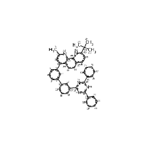 Cc1cc(-c2cccc(-c3cccc(-c4nc(-c5ccccc5)nc(-c5ccccc5)n4)c3)c2)c2ccc3ccc(C(C)(C)C)nc3c2n1